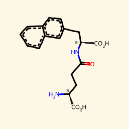 N[C@@H](CCC(=O)N[C@@H](Cc1ccc2ccccc2c1)C(=O)O)C(=O)O